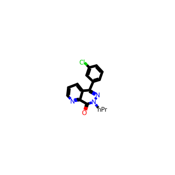 CCCn1nc(-c2cccc(Cl)c2)c2cccnc2c1=O